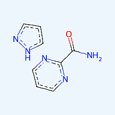 NC(=O)c1ncccn1.c1cn[nH]c1